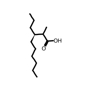 CCCCCC[C@@H](CCC)C(C)C(=O)O